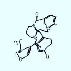 Cc1nocc1C(=O)N1CCN2C(=O)c3ccnn3CC12C1=CC=C(Cl)CC1